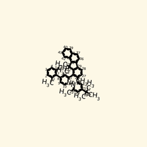 Cc1cccc(C)c1-c1cc[n+](-[n+]2ccc(C(C)(C)C)cc2C)c(-c2c(C)ccc3c2C(C)(C)c2c-3ccc3ccccc23)c1